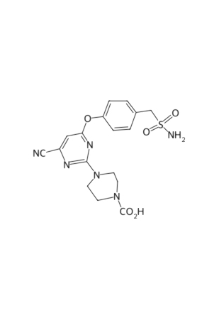 N#Cc1cc(Oc2ccc(CS(N)(=O)=O)cc2)nc(N2CCN(C(=O)O)CC2)n1